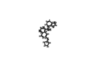 C1=Cc2ncsc2N(Nc2ncnc3ccc(SC4CCCC4)cc23)C1